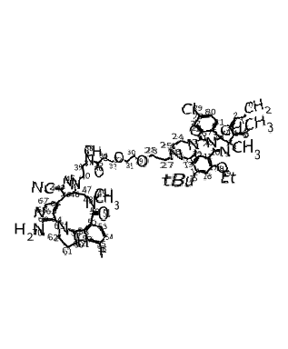 C=C/C=C\C(=C/C)[C@]1(C)N=C(c2ccc(C(C)(C)C)cc2OCC)N(C(=O)N2CCN(CCOCCOCCC(=O)N(C)CCn3nc(C#N)c4c3CN(C)C(=O)c3ccc(F)cc3[C@H]3CCCN3c3cc-4cnc3N)CC2)[C@]1(C)c1ccc(Cl)cc1